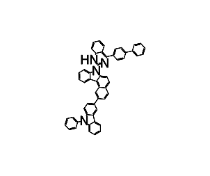 C1=CC2=C(c3ccc(-c4ccccc4)cc3)N=C(n3c4ccccc4c4c5cc(-c6ccc7c(c6)c6ccccc6n7-c6ccccc6)ccc5ccc43)NC2C=C1